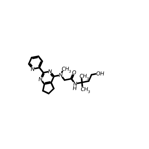 CN(CC(=O)NC(C)(C)CCO)c1nc(-c2ccccn2)nc2c1CCC2